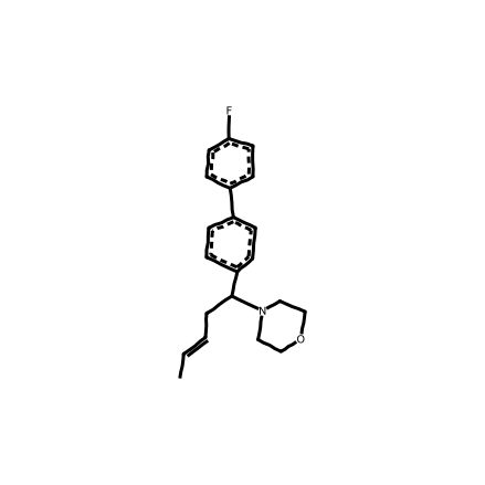 CC=CCC(c1ccc(-c2ccc(F)cc2)cc1)N1CCOCC1